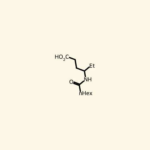 CCCCCCC(=O)NC(CC)CCC(=O)O